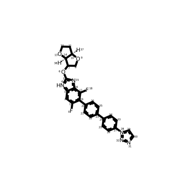 Fc1cc2[nH]c(OC3CO[C@@H]4CCO[C@H]34)nc2c(F)c1-c1ccc(-c2ccc(-n3ccnn3)cc2)cc1